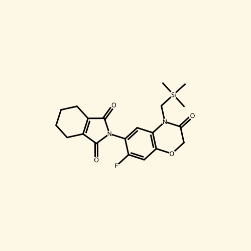 C[Si](C)(C)CN1C(=O)COc2cc(F)c(N3C(=O)C4=C(CCCC4)C3=O)cc21